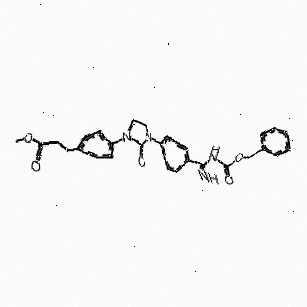 COC(=O)CCc1ccc(N2CCN(c3ccc(C(=N)NC(=O)OCc4ccccc4)cc3)C2=O)cc1